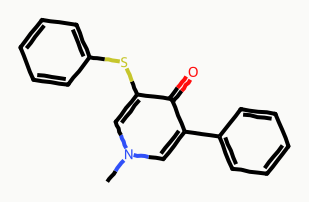 Cn1cc(Sc2ccccc2)c(=O)c(-c2ccccc2)c1